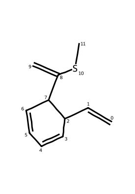 C=CC1C=CC=CC1C(=C)SC